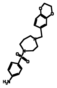 Nc1ccc(S(=O)(=O)N2CCCN(Cc3ccc4c(c3)OCCO4)CC2)cc1